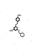 CCCCc1ccc(CCc2cc(O)cc(OCC3CCCCO3)n2)cc1